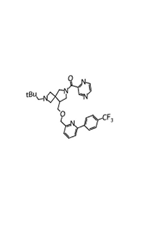 CC(C)(C)CN1CC2(C1)CN(C(=O)c1cnccn1)CC2COCc1cccc(-c2ccc(C(F)(F)F)cc2)n1